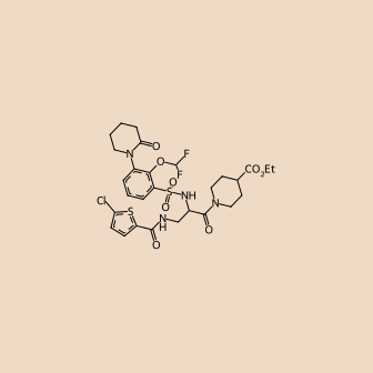 CCOC(=O)C1CCN(C(=O)C(CNC(=O)c2ccc(Cl)s2)NS(=O)(=O)c2cccc(N3CCCCC3=O)c2OC(F)F)CC1